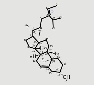 C/C=C(/CC[C@@H](C)C1CC[C@H]2[C@@H]3CC=C4C[C@@H](O)CC[C@]4(C)[C@H]3CC[C@]12C)C(C)C